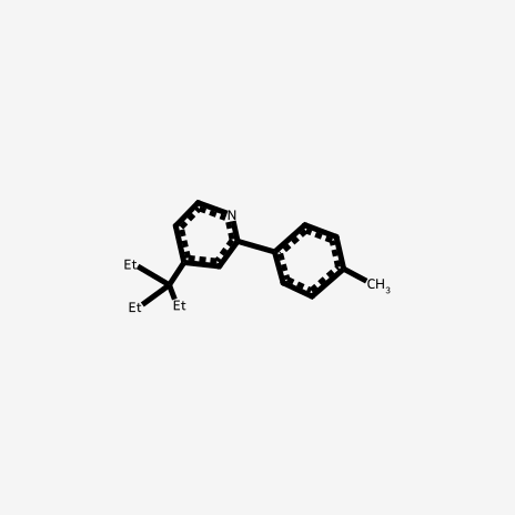 CCC(CC)(CC)c1ccnc(-c2ccc(C)cc2)c1